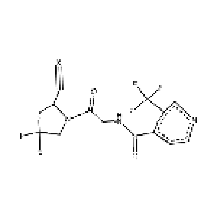 N#CC1CC(F)(F)CN1C(=O)CNC(=O)c1ccncc1C(F)(F)F